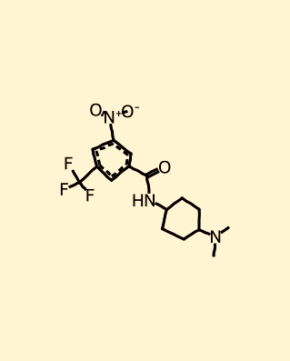 CN(C)C1CCC(NC(=O)c2cc([N+](=O)[O-])cc(C(F)(F)F)c2)CC1